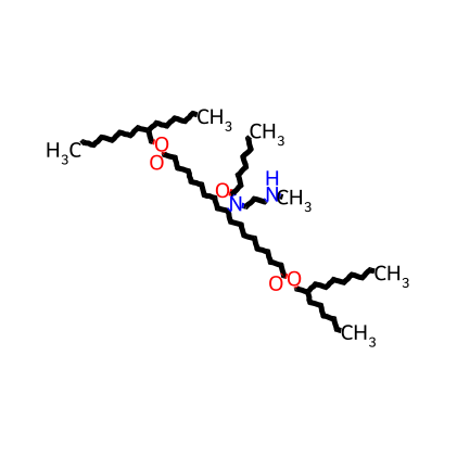 CCCCCCCCC(CCCCCC)COC(=O)CCCCCCCCC(CCCCCCCCC(=O)OCC(CCCCCC)CCCCCCCC)N(CCCNC)C(=O)CCCCCCC